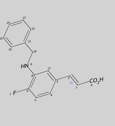 O=C(O)/C=C/c1ccc(F)c(NCc2ccccc2)c1